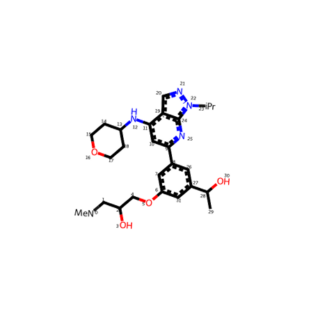 CNCC(O)COc1cc(-c2cc(NC3CCOCC3)c3cnn(C(C)C)c3n2)cc(C(C)O)c1